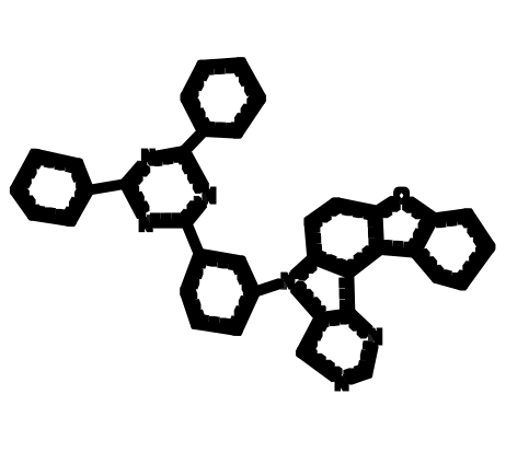 c1ccc(-c2nc(-c3ccccc3)nc(-c3cccc(-n4c5cncnc5c5c6c(ccc54)oc4ccccc46)c3)n2)cc1